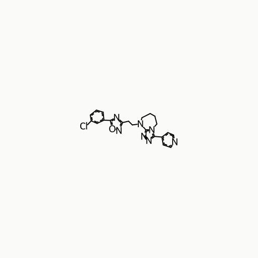 Clc1cccc(-c2nc(CCN3CCCCn4c(-c5ccncc5)nnc43)no2)c1